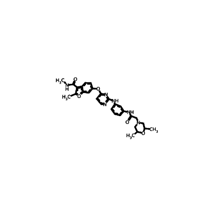 CNC(=O)c1c(C)oc2cc(Oc3ccnc(Nc4cccc(NC(=O)CN5CC(C)OC(C)C5)c4)n3)ccc12